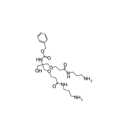 NCCCNC(=O)CCOCC(CO)(COCCC(=O)NCCCN)NC(=O)OCc1ccccc1